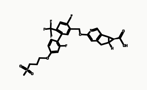 CS(=O)(=O)CCCOc1ccc(-c2cc(COc3cc4c(cn3)C3[C@@H](C4)[C@@H]3C(=O)O)c(F)cc2C(F)(F)F)c(F)c1